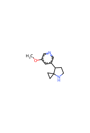 COc1cncc(C2CCNC23CC3)c1